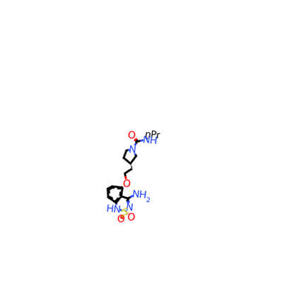 CCCNC(=O)N1CC[C@@H](CCOc2cccc3c2C(N)=NS(=O)(=O)N3)C1